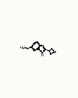 CCc1ccc2nc(C3CNC3)[nH]c2c1